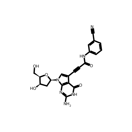 N#Cc1cccc(NC(=O)C#Cc2cn([C@H]3C[C@@H](O)[C@@H](CO)O3)c3nc(N)[nH]c(=O)c23)c1